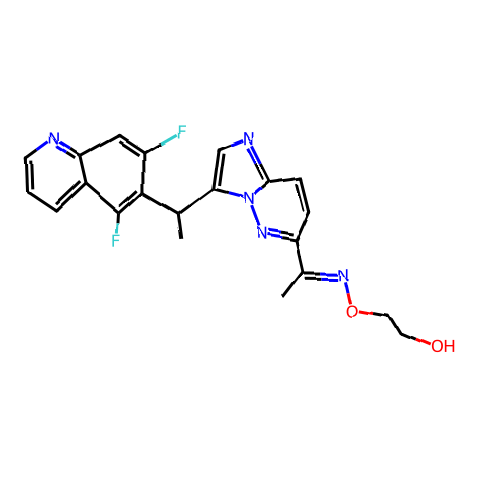 CC(=NOCCO)c1ccc2ncc(C(C)c3c(F)cc4ncccc4c3F)n2n1